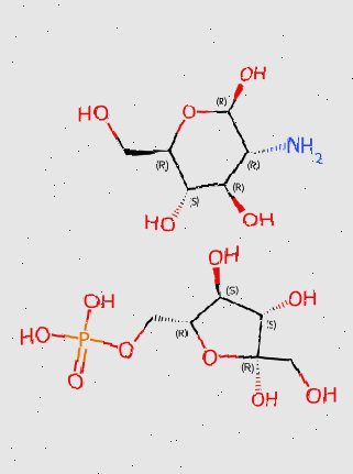 N[C@@H]1[C@@H](O)[C@H](O)[C@@H](CO)O[C@H]1O.O=P(O)(O)OC[C@H]1O[C@](O)(CO)[C@@H](O)[C@@H]1O